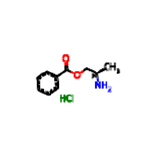 C[C@@H](N)COC(=O)c1ccccc1.Cl